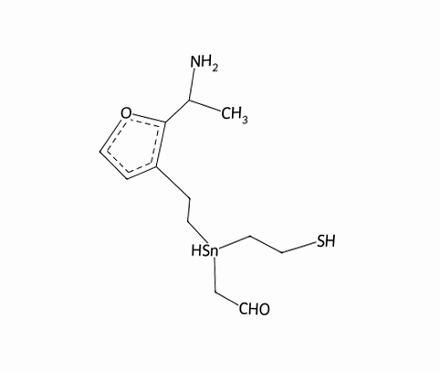 CC(N)c1occc1C[CH2][SnH]([CH2]C=O)[CH2]CS